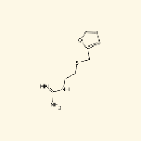 N=C(N)NCCSCc1ccco1